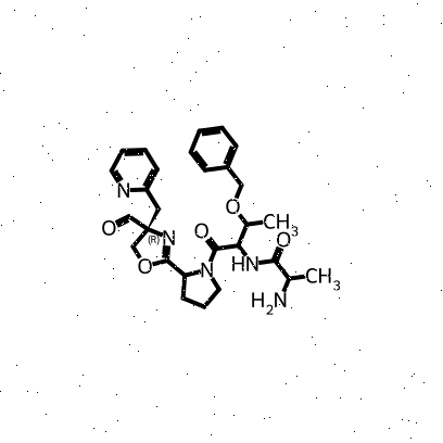 CC(N)C(=O)NC(C(=O)N1CCCC1C1=N[C@](C=O)(Cc2ccccn2)CO1)C(C)OCc1ccccc1